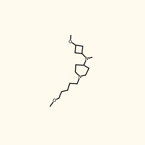 COCCCCCN1CCC(N(C)C2CC(OC)C2)CC1